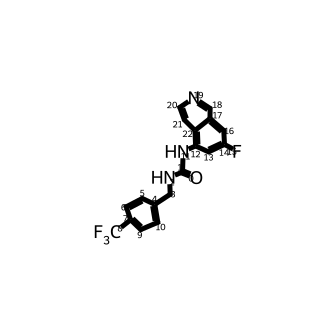 O=C(NCc1ccc(C(F)(F)F)cc1)Nc1cc(F)cc2cnccc12